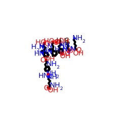 CSCCC(N)C(=O)O.N=C(N)NCCCC(N)C(=O)O.NC(Cc1c[nH]c2ccccc12)C(=O)O.NC(Cc1c[nH]c2ccccc12)C(=O)O.NC(Cc1ccc(O)cc1)C(=O)O.NC(Cc1ccccc1)C(=O)O.NCCCCC(N)C(=O)O